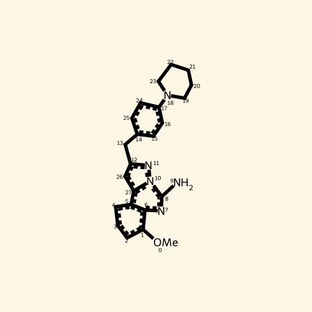 COc1cccc2c1nc(N)n1nc(Cc3ccc(N4CCCCC4)cc3)cc21